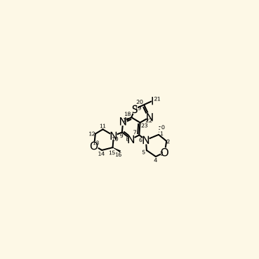 C[C@@H]1COCCN1c1nc(N2CCOC[C@@H]2C)nc2sc(I)nc12